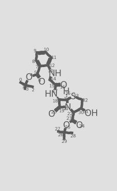 CC(C)(C)OC(=O)c1ccccc1NCC(=O)N[C@@H]1C(=O)N2C(C(=O)OC(C)(C)C)C(O)CS[C@H]12